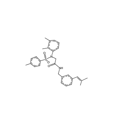 CC(C)=Cc1cccc(CNC(=O)CN(c2cccc(C)c2C)S(=O)(=O)c2ccc(C)cc2)c1